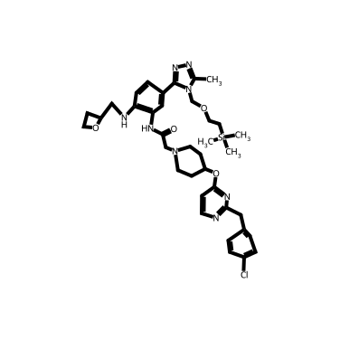 Cc1nnc(-c2ccc(NCC3CCO3)c(NC(=O)CN3CCC(Oc4ccnc(Cc5ccc(Cl)cc5)n4)CC3)c2)n1COCC[Si](C)(C)C